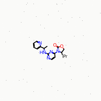 CC(Nc1nccc(N2C(=O)OCC2C(C)C)n1)c1ccccn1